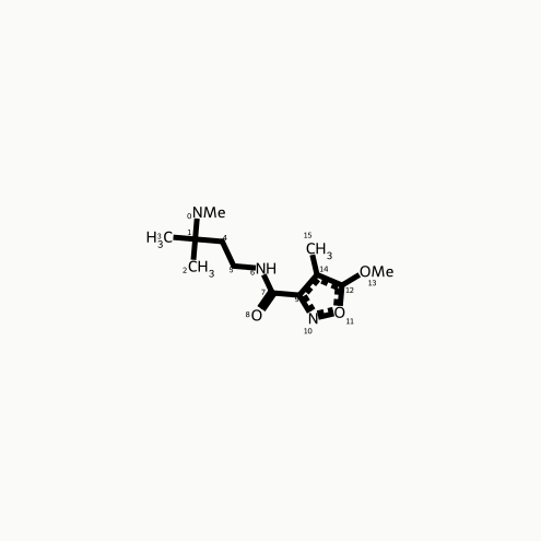 CNC(C)(C)CCNC(=O)c1noc(OC)c1C